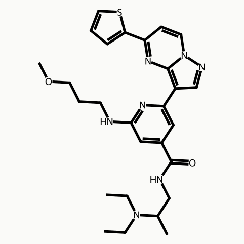 CCN(CC)C(C)CNC(=O)c1cc(NCCCOC)nc(-c2cnn3ccc(-c4cccs4)nc23)c1